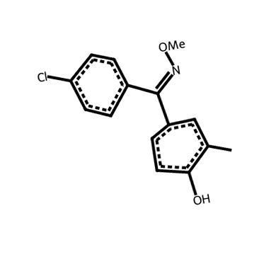 CO/N=C(\c1ccc(Cl)cc1)c1ccc(O)c(C)c1